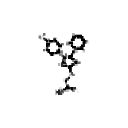 O=C(O)CSc1nc(-c2ccccc2)c(-c2ccc(Br)cc2)o1